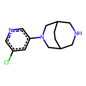 Clc1cncc(N2CC3CCC(CNC3)C2)c1